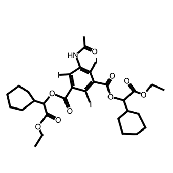 CCOC(=O)C(OC(=O)c1c(I)c(NC(C)=O)c(I)c(C(=O)OC(C(=O)OCC)C2CCCCC2)c1I)C1CCCCC1